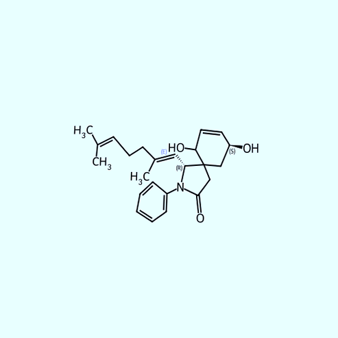 CC(C)=CCC/C(C)=C/[C@H]1N(c2ccccc2)C(=O)CC12C[C@H](O)C=CC2O